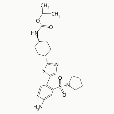 CC(C)OC(=O)N[C@H]1CC[C@H](c2ncc(-c3ccc(N)cc3S(=O)(=O)N3CCCC3)s2)CC1